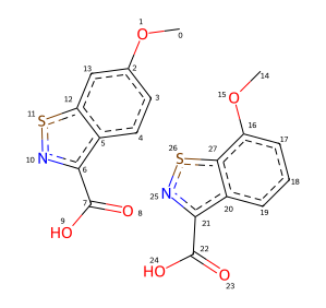 COc1ccc2c(C(=O)O)nsc2c1.COc1cccc2c(C(=O)O)nsc12